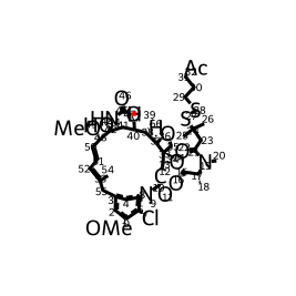 COc1cc2cc(c1Cl)N(C)C(=O)C[C@@H](OC(=O)[C@@H](C)N(C)C(=O)CC(C)(C)SSCCCC(C)=O)[C@@]1(C)CO[C@@H]1[C@@H](C)[C@H]1C[C@](O)(NC(=O)O1)[C@@H](OC)/C=C/C=C(\C)C2